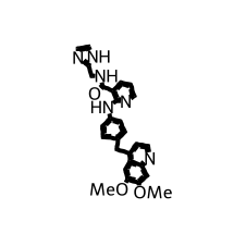 COc1cc2nccc(Cc3ccc(Nc4ncccc4C(=O)NCc4ncc[nH]4)cc3)c2cc1OC